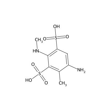 CNc1c(S(=O)(=O)O)cc(N)c(C)c1S(=O)(=O)O